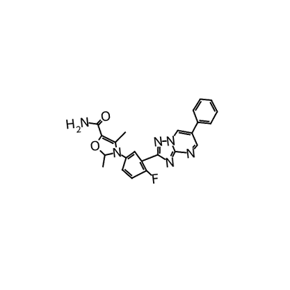 CC1=C(C(N)=O)OC(C)N1c1ccc(F)c(-c2nc3ncc(-c4ccccc4)cn3n2)c1